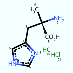 C[C@](N)(Cc1c[nH]cn1)C(=O)O.Cl.Cl